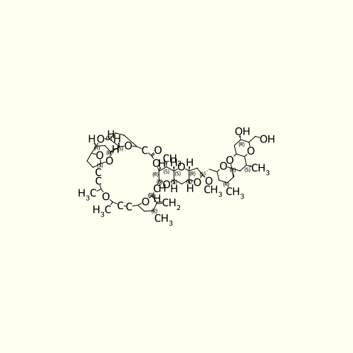 C=C1[C@H](C)CC2CCC(C)OC(C)CC[C@]34CCC(O3)[C@H]3C[C@@H](O4)[C@H]4OC(CC[C@@H]4O3)CC(=O)O[C@@H]3[C@@H](C)[C@@H]4O[C@@H]5C[C@@](CC6C[C@@H](C)C[C@@]7(C[C@H](C)C8OC(CO)[C@H](O)CC8O7)O6)(OC)O[C@@H]5C[C@@H]4O[C@H]3C[C@H]1O2